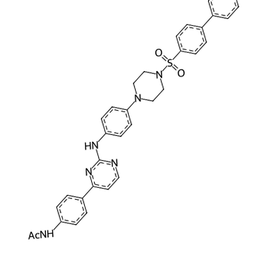 CC(=O)Nc1ccc(-c2ccnc(Nc3ccc(N4CCN(S(=O)(=O)c5ccc(-c6ccccc6)cc5)CC4)cc3)n2)cc1